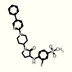 CS(=O)(=O)c1ccc(NC2CCN(C3CCN(c4ccc(-c5ccccc5)cn4)CC3)C2=O)c(F)c1